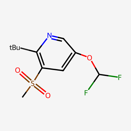 CC(C)(C)c1ncc(OC(F)F)cc1S(C)(=O)=O